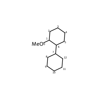 [CH2]OC1CCCCC1C1CCCCC1